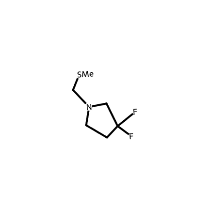 CSCN1CCC(F)(F)C1